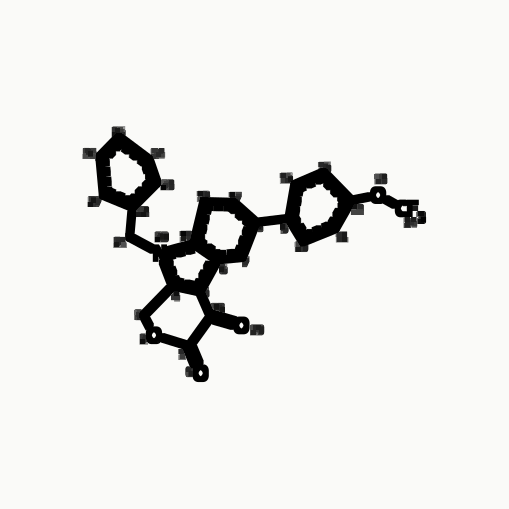 O=C1OCc2c(c3cc(-c4ccc(OC(F)(F)F)cc4)ccc3n2Cc2ccccc2)C1=O